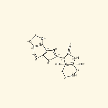 O=C1N[C@H]2CNCC[C@H]2N1c1nc2c3c(ccc2s1)OCO3